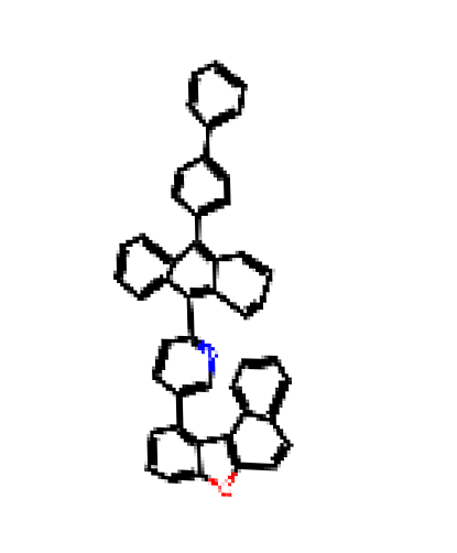 c1ccc(-c2ccc(-c3c4ccccc4c(-c4ccc(-c5cccc6oc7ccc8ccccc8c7c56)cn4)c4ccccc34)cc2)cc1